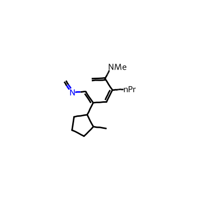 C=N/C=C(/C=C(/CCC)C(=C)NC)C1CCCC1C